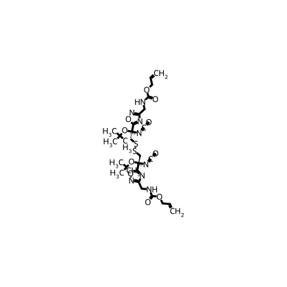 C=CCOC(=O)NCc1noc([C@@](CSSC[C@](N=C=O)(OC(C)(C)C)c2nc(CNC(=O)OCC=C)no2)(N=C=O)OC(C)(C)C)n1